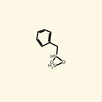 c1ccc(C[SiH]2O[SiH2]O2)cc1